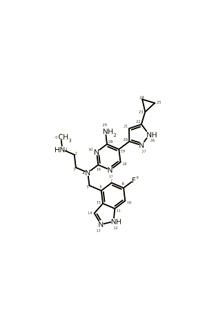 CNCCN(Cc1cc(F)cc2[nH]ncc12)c1ncc(-c2cc(C3CC3)[nH]n2)c(N)n1